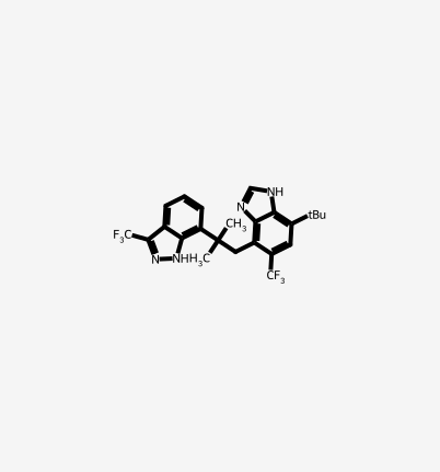 CC(C)(C)c1cc(C(F)(F)F)c(CC(C)(C)c2cccc3c(C(F)(F)F)n[nH]c23)c2nc[nH]c12